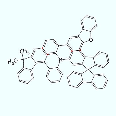 CC1(C)c2ccccc2-c2c(-c3ccccc3N(c3ccc4c(c3)C3(c5ccccc5-c5ccccc53)c3ccccc3-4)c3ccccc3-c3ccc4oc5ccccc5c4c3)cccc21